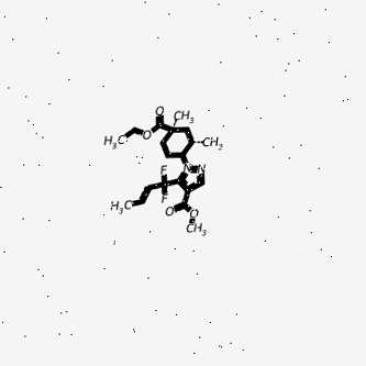 C/C=C/C(F)(F)c1c(C(=O)OC)cnn1C1CC[C@@](C)(C(=O)OCC)C[C@@H]1C